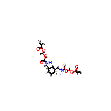 C=CC(=O)OCOC(=O)NCc1cccc(CNC(=O)OCOC(=O)C=C)c1